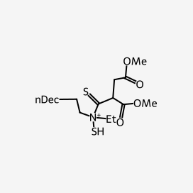 CCCCCCCCCCCC[N+](S)(CC)C(=S)C(CC(=O)OC)C(=O)OC